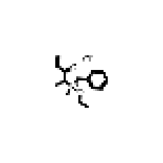 C=CC(=O)C(C)[N+](C)(Cc1ccccc1)OCC.[Cl-]